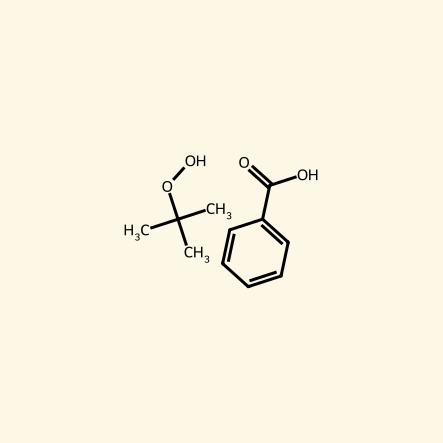 CC(C)(C)OO.O=C(O)c1ccccc1